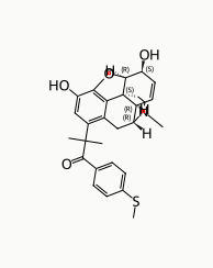 CSc1ccc(C(=O)C(C)(C)c2cc(O)c3c4c2C[C@@H]2[C@@H]5C=C[C@H](O)[C@H](O3)[C@]45CCN2C)cc1